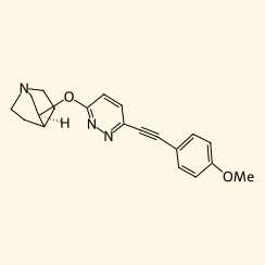 COc1ccc(C#Cc2ccc(O[C@@H]3CN4CCC3CC4)nn2)cc1